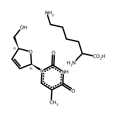 Cc1cn([C@H]2C=C[C@@H](CO)O2)c(=O)[nH]c1=O.NCCCCC(N)C(=O)O